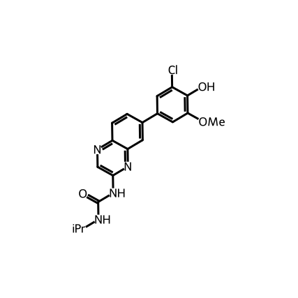 COc1cc(-c2ccc3ncc(NC(=O)NC(C)C)nc3c2)cc(Cl)c1O